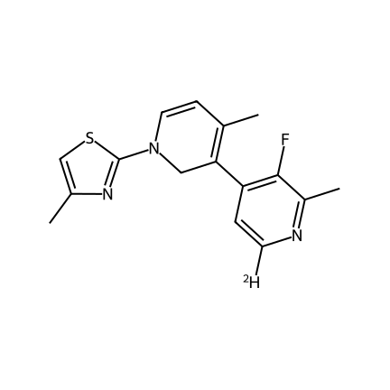 [2H]c1cc(C2=C(C)C=CN(c3nc(C)cs3)C2)c(F)c(C)n1